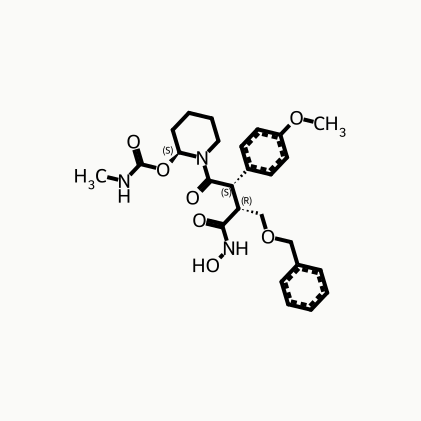 CNC(=O)O[C@H]1CCCCN1C(=O)[C@H](c1ccc(OC)cc1)[C@H](COCc1ccccc1)C(=O)NO